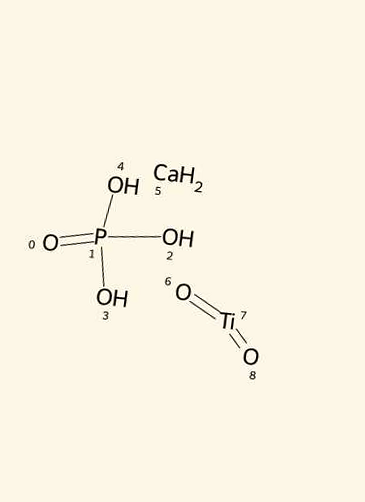 O=P(O)(O)O.[CaH2].[O]=[Ti]=[O]